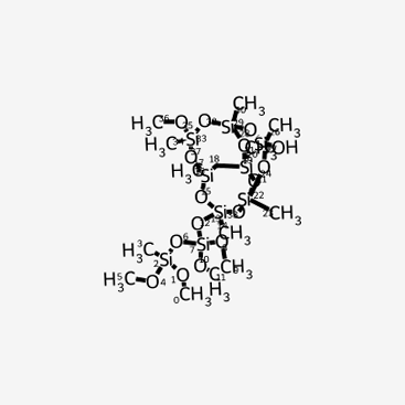 CO[Si](C)(OC)O[Si](OC)(OC)O[Si]1(C)O[Si]2(C)C[Si@]3(C)O[Si](C)(O[Si](C)(O)O[Si](C)(O3)O[Si@@](C)(OC)O2)O1